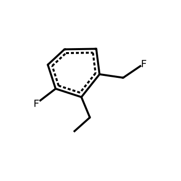 CCc1c(F)cccc1CF